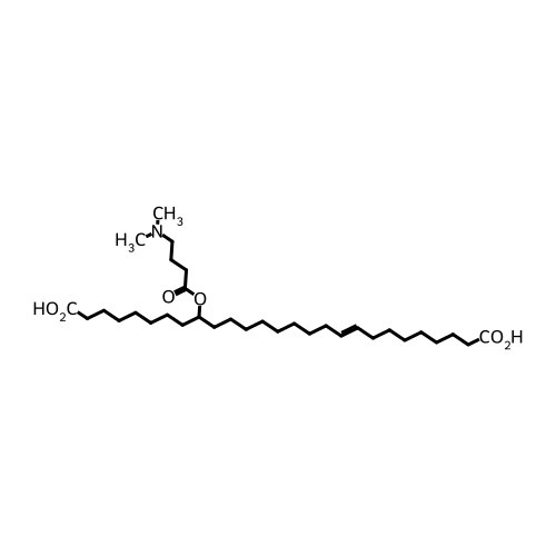 CN(C)CCCC(=O)OC(CCCCCCCCC=CCCCCCCCC(=O)O)CCCCCCCC(=O)O